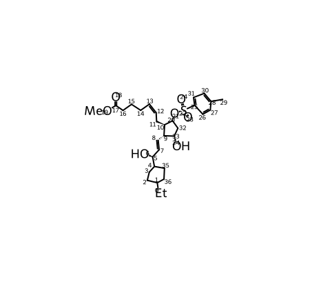 CCC1CCC([C@@H](O)/C=C/[C@@H]2[C@@H](C/C=C\CCCC(=O)OC)[C@H](OS(=O)(=O)c3ccc(C)cc3)C[C@H]2O)CC1